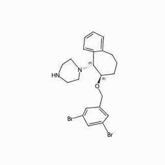 Brc1cc(Br)cc(CO[C@@H]2CCCc3ccccc3[C@H]2N2CCNCC2)c1